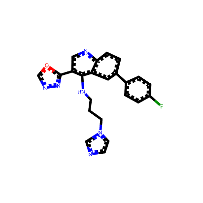 Fc1ccc(-c2ccc3ncc(-c4nnco4)c(NCCCn4ccnc4)c3c2)cc1